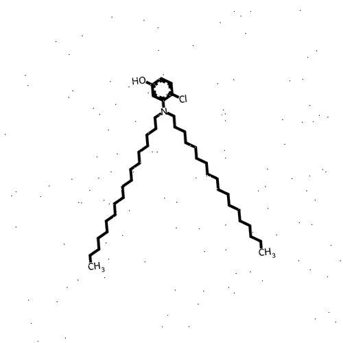 CCCCCCCCCCCCCCCCCCN(CCCCCCCCCCCCCCCCCC)c1cc(O)ccc1Cl